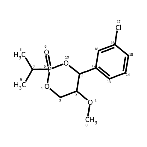 COC1COP(=O)(C(C)C)OC1c1cccc(Cl)c1